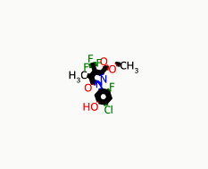 CCOC(=O)c1nn(-c2cc(O)c(Cl)cc2F)c(=O)c(C)c1C(F)(F)F